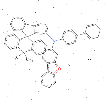 CC1(C)c2ccccc2C2(C3=CC(N(c4ccc(C5=CCCC=C5)cc4)c4ccc5c(c4)oc4ccccc45)=CCC=C3c3ccccc32)c2ccccc21